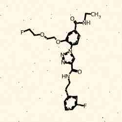 CCNC(=O)c1ccc(-n2cc(C(=O)NCCc3cccc(F)c3)nn2)c(OCCOCCF)c1